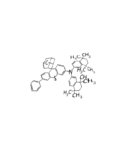 CC1(C)CCC(C)(C)c2cc(N(c3ccc4c(c3)Sc3cc(-c5ccccc5)ccc3C43C4CC5CC6CC3C64C5)c3ccc4c(c3)C(C)(C)CCC4(C)C)ccc21